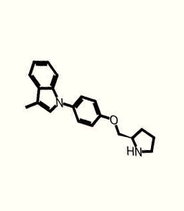 Cc1cn(-c2ccc(OC[C@H]3CCCN3)cc2)c2ccccc12